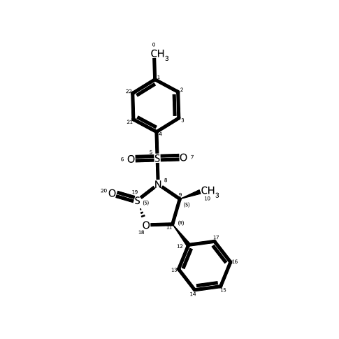 Cc1ccc(S(=O)(=O)N2[C@@H](C)[C@@H](c3ccccc3)O[S@@]2=O)cc1